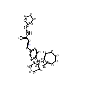 O=C(/C=C/c1cnc(N[C@@]2(CC3CCCCCC3)CCCNC2)cn1)NOC1CCCCO1